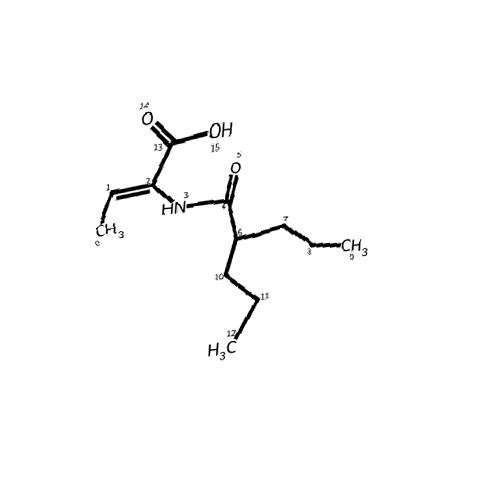 C/C=C(\NC(=O)C(CCC)CCC)C(=O)O